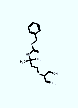 C=CC(CO)SCCC(C)(C)NC(=O)OCc1ccccc1